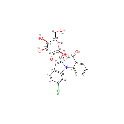 COC(=O)c1ccccc1-n1cc(O[C@@H]2[C@@H](O)[C@@H](O)[C@@H](CO)O[C@H]2O)c2ccc(Cl)cc21